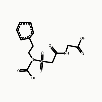 O=C(O)CNC(=O)CS(=O)(=O)N(CCc1ccccc1)C(=O)O